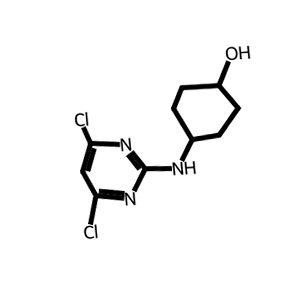 OC1CCC(Nc2nc(Cl)cc(Cl)n2)CC1